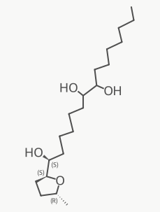 CCCCCCCC(O)C(O)CCCCC[C@H](O)[C@@H]1CC[C@@H](C)O1